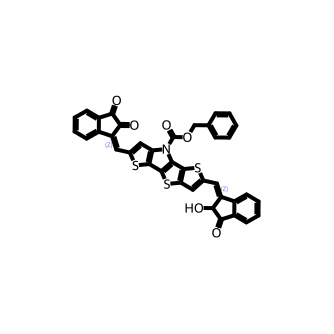 O=C1C(=O)c2ccccc2/C1=C/c1cc2c(s1)c1sc3cc(/C=C4/c5ccccc5C(=O)C4O)sc3c1n2C(=O)OCc1ccccc1